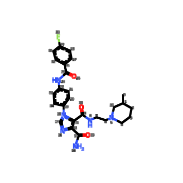 CC1CCCN(CCNC(=O)c2c(C(N)=O)ncn2-c2ccc(NC(=O)c3ccc(F)cc3)cc2)C1